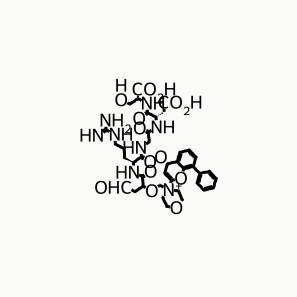 N=C(N)NCCC[C@H](NC(=O)C(CC=O)OC[N+]1(c2cc(=O)c3cccc(-c4ccccc4)c3o2)CCOCC1)C(=O)NCC(=O)N[C@@H](CC(=O)O)C(=O)N[C@@H](CO)C(=O)O